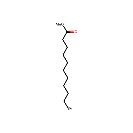 COC(=O)CCCCCCCCCC(C)C